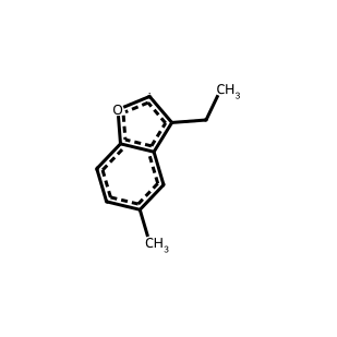 CCc1[c]oc2ccc(C)cc12